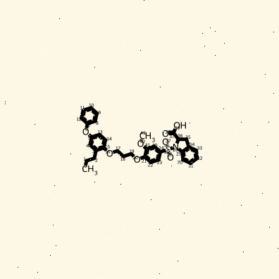 CCCc1cc(Oc2ccccc2)ccc1OCCCOc1ccc(S(=O)(=O)N2c3ccccc3CC2C(=O)O)cc1OC